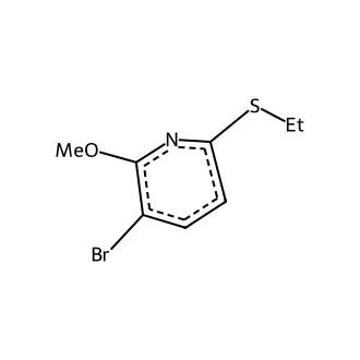 CCSc1ccc(Br)c(OC)n1